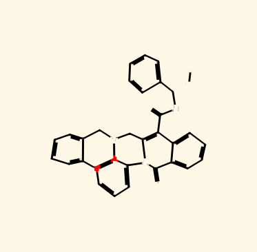 CC[C@H](NC(=O)c1c(CN2CCc3ccccc3C2)n(-c2ccccc2)c(=O)c2ccccc12)c1ccccc1